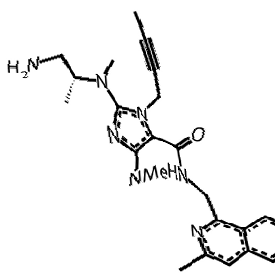 CC#CCn1c(N(C)[C@H](C)CN)nc(NC)c1C(=O)NCc1nc(C)cc2ccccc12